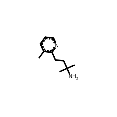 Cc1cccnc1CCC(C)(C)N